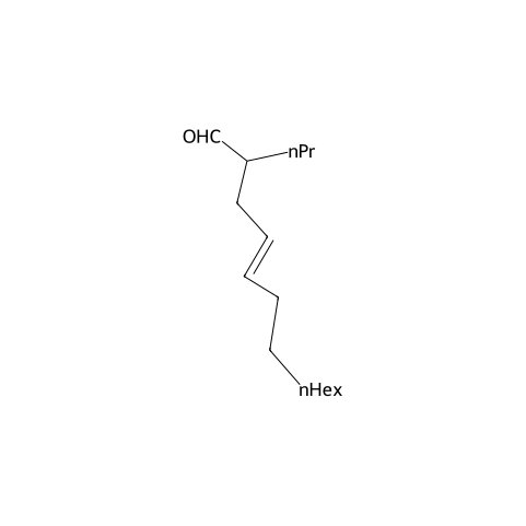 CCCCCCCCC=CCC(C=O)CCC